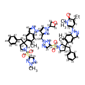 CCc1cc(-n2ncc3cc(C4(Cc5ccccc5)CCN(S(=O)(=O)c5cnn(Cc6nn(C7COC7)cc6-n6ncc7cc(C8(Cc9ccccc9)CCN(S(=O)(=O)c9cnn(C)n9)C8)c(C)cc76)n5)C4)c(C)cc32)cn(C)c1=O